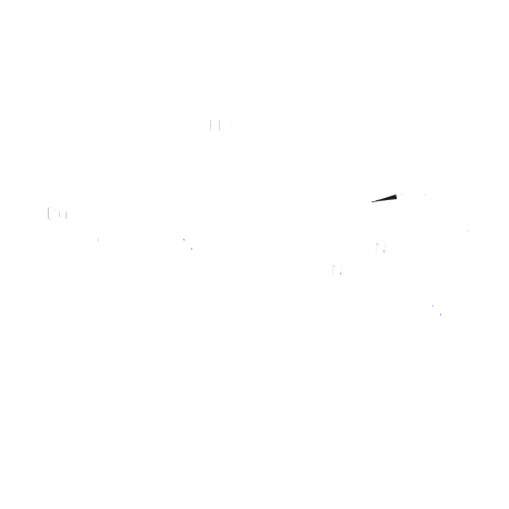 CC1CC[C@@]2(C(=O)O)C(=NN2C(N)=O)[C@@H]1[C@@](C=O)(Cc1ccccc1)NC(=O)OC(C)(C)C